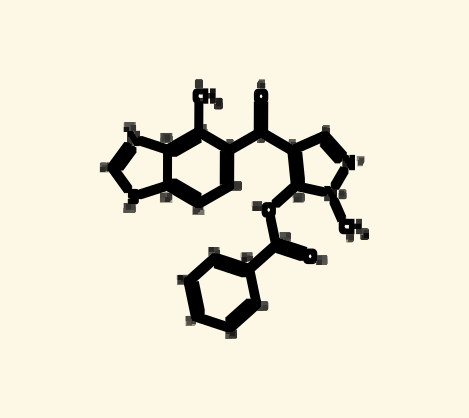 Cc1c(C(=O)c2cnn(C)c2OC(=O)c2ccccc2)ccc2scnc12